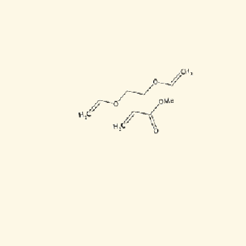 C=CC(=O)OC.C=COCCOC=C